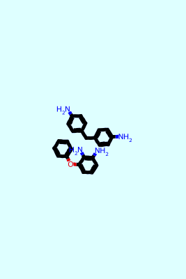 Nc1ccc(Cc2ccc(N)cc2)cc1.Nc1cccc(Oc2ccccc2)c1N